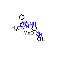 COc1cc(Nc2nc3nc(C)cc(-c4ccccc4)n3n2)ccc1-n1cnc(C)c1